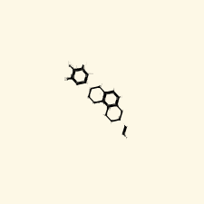 CC=C[C@H]1CCc2c(ccc3c2CC[C@H](c2cc(F)c(Cl)c(F)c2)C3)C1